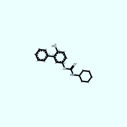 O=C(NC1CCCCC1)Oc1ccc(O)c(-c2ccccc2)c1